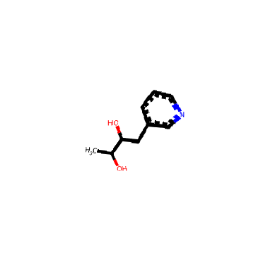 CC(O)C(O)Cc1cccnc1